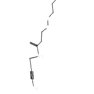 BC#CCNC(=O)CCSSCCN